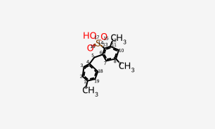 Cc1ccc(Cc2cc(C)cc(C)c2S(=O)(=O)O)cc1